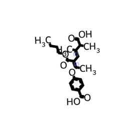 CCCCOC(=O)C(/C=C(\C)C(C)C(=O)O)=C(/C)Oc1ccc(C(=O)O)cc1